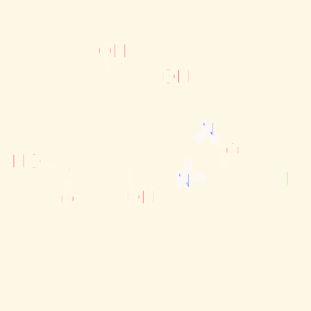 O=C(O)c1cc(O)c(O)c(-c2noc(-c3ccccc3F)n2)c1O